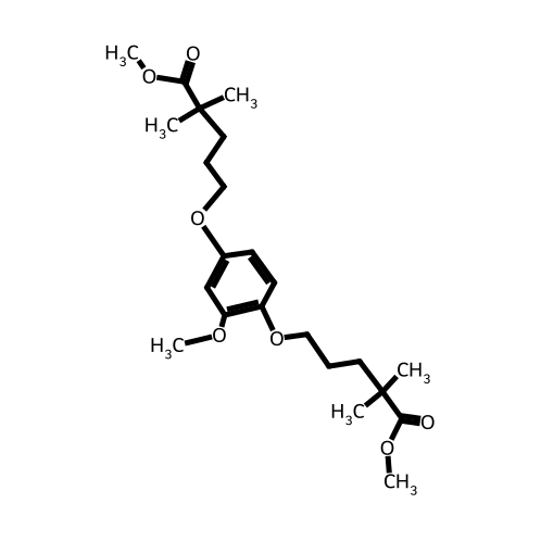 COC(=O)C(C)(C)CCCOc1ccc(OCCCC(C)(C)C(=O)OC)c(OC)c1